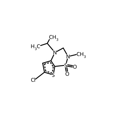 CC(C)N1CN(C)S(=O)(=O)c2sc(Cl)cc21